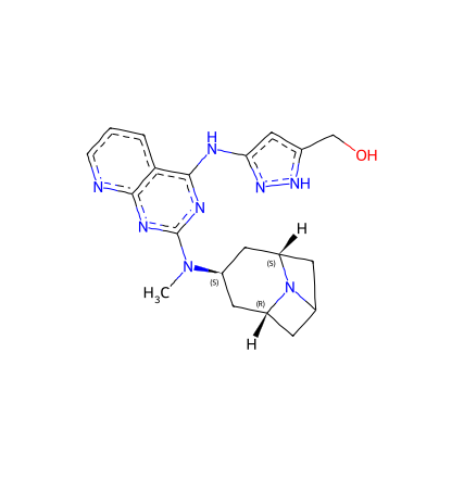 CN(c1nc(Nc2cc(CO)[nH]n2)c2cccnc2n1)[C@@H]1C[C@H]2CC3C[C@@H](C1)N32